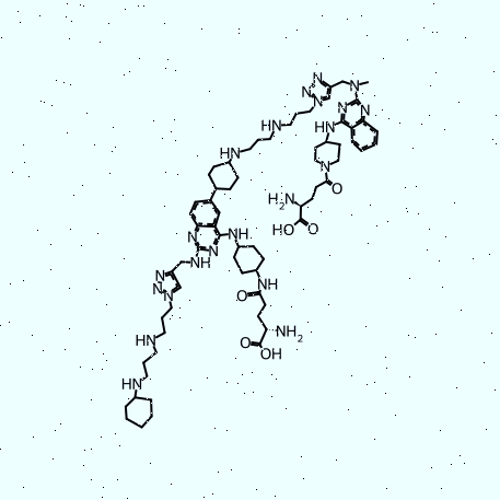 CN(Cc1cn(CCCNCCCNC2CCC(c3ccc4nc(NCc5cn(CCCNCCCNC6CCCCC6)nn5)nc(NC5CCC(NC(=O)CC[C@H](N)C(=O)O)CC5)c4c3)CC2)nn1)c1nc(NC2CCN(C(=O)CC[C@H](N)C(=O)O)CC2)c2ccccc2n1